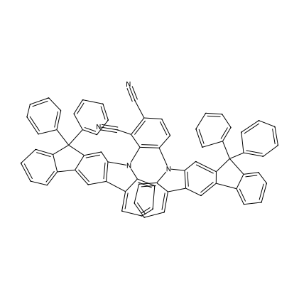 N#Cc1ccc(-n2c3ccccc3c3cc4c(cc32)C(c2ccccc2)(c2ccccc2)c2ccccc2-4)c(-n2c3ccccc3c3cc4c(cc32)C(c2ccccc2)(c2ccccc2)c2ccccc2-4)c1C#N